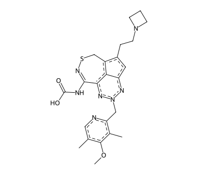 COc1c(C)cnc(Cn2nc3cc(CCN4CCC4)c4c-3c(n2)C(NC(=O)O)=NSC4)c1C